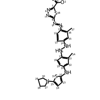 CCOC(=O)c1nnc(/N=N/c2ccc(NNc3ccc(Nc4ccc(N5CCCC5)s4)cc3C)cc2C)s1